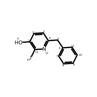 Oc1ccc(Cc2ccccc2)nc1I